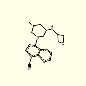 C[C@H]1C[C@@H](NC2COC2)CN(c2ccc(C#N)c3ncccc23)C1